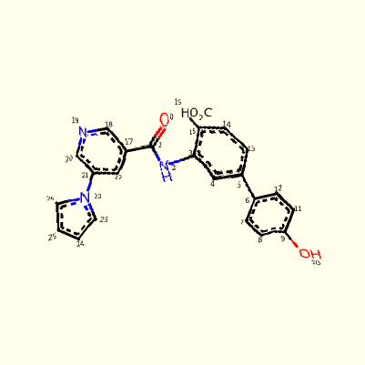 O=C(Nc1cc(-c2ccc(O)cc2)ccc1C(=O)O)c1cncc(-n2cccc2)c1